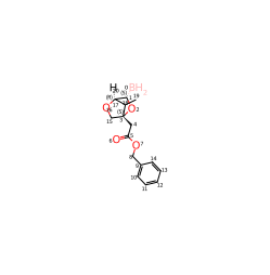 B[C@@H]1O[C@]2(CC(=O)OCc3ccccc3)CO[C@@H]1C2C